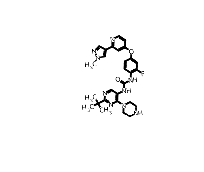 Cn1cc(-c2cc(Oc3ccc(NC(=O)Nc4cnc(C(C)(C)C)nc4N4CCNCC4)c(F)c3)ccn2)cn1